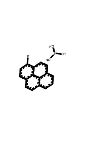 Brc1ccc2ccc3cccc4ccc1c2c34.OB(O)O